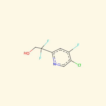 OCC(F)(F)c1cc(F)c(Cl)cn1